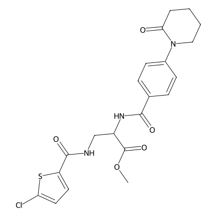 COC(=O)C(CNC(=O)c1ccc(Cl)s1)NC(=O)c1ccc(N2CCCCC2=O)cc1